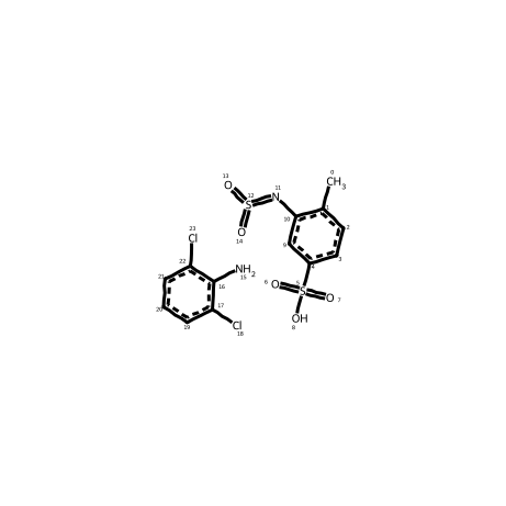 Cc1ccc(S(=O)(=O)O)cc1N=S(=O)=O.Nc1c(Cl)cccc1Cl